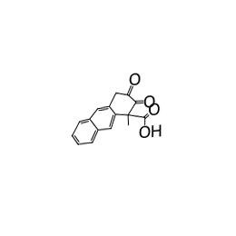 CC1(C(=O)O)C(=O)C(=O)Cc2cc3ccccc3cc21